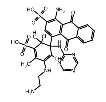 CC1=C(S(=O)(=O)O)C(C)(Cl)C(Nc2ncncn2)(c2cc(S(=O)(=O)O)c(N)c3c2C(=O)c2ccccc2C3=O)C(C)=C1NCCN